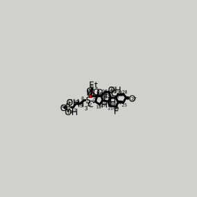 CCC(=O)O[C@]1(C(=O)SCCCCP(=O)(O)O)[C@H](C)C[C@H]2[C@@H]3C[C@H](F)C4=CC(=O)C=C[C@]4(C)[C@@]3(F)[C@@H](O)C[C@@]21C